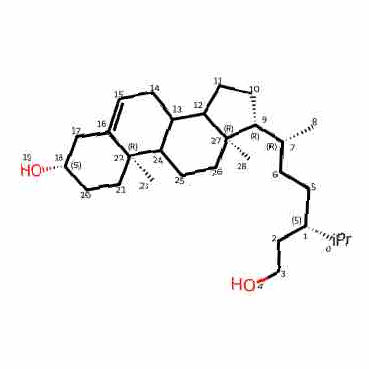 CC(C)[C@H](CCO)CC[C@@H](C)[C@H]1CCC2C3CC=C4C[C@@H](O)CC[C@]4(C)C3CC[C@@]21C